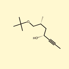 CC#C[C@H](O)C[C@@H](C)COC(C)(C)C